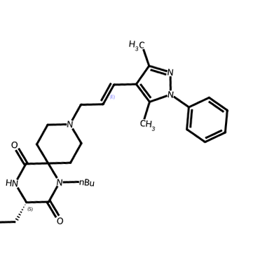 CCCCN1C(=O)[C@H](CC(C)C)NC(=O)C12CCN(C/C=C/c1c(C)nn(-c3ccccc3)c1C)CC2